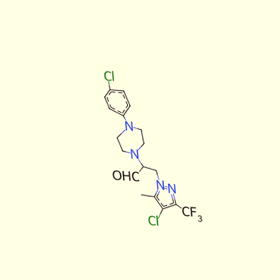 Cc1c(Cl)c(C(F)(F)F)nn1CC(C=O)N1CCN(c2ccc(Cl)cc2)CC1